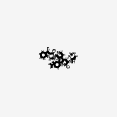 CC(C)C1(C)CCCC(CO)(c2[nH]c(=O)c(Nc3ccncn3)cc2-c2ccnc(N3CCn4c5c(c(F)c4C3=O)CCCC5)c2)C1